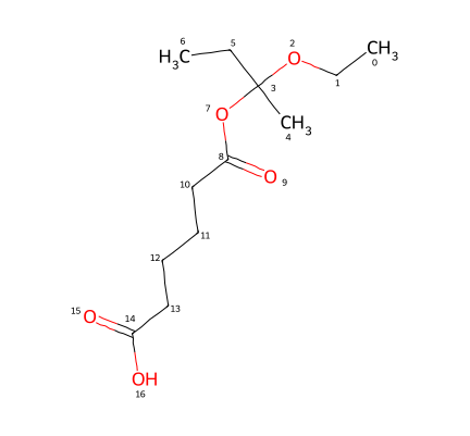 CCOC(C)(CC)OC(=O)CCCCC(=O)O